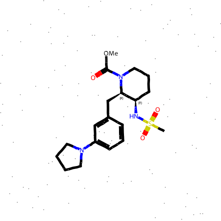 COC(=O)N1CCC[C@@H](NS(C)(=O)=O)[C@H]1Cc1cccc(N2CCCC2)c1